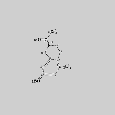 CC(C)(C)c1cc2c(c(C(F)(F)F)c1)CCN(C(=O)C(F)(F)F)C2